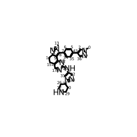 Cn1cc(-c2ccc(-c3c4c(nn3C)CCc3cnc(Nc5cnn(C6CCNCC6)c5)nc3-4)cc2)cn1